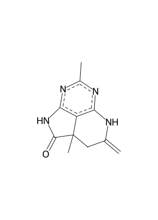 C=C1CC2(C)C(=O)Nc3nc(C)nc(c32)N1